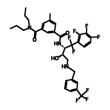 CCCN(CCC)C(=O)c1cc(C)cc(C(=O)N[C@@H]([C@H](O)CNCc2cccc(C(F)(F)F)c2)C(F)(F)c2ccc(F)c(F)c2F)c1